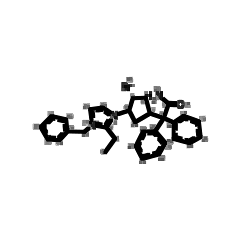 CCc1n(C2CCC(C(C(N)=O)(c3ccccc3)c3ccccc3)C2)cc[n+]1Cc1ccccc1.[Br-]